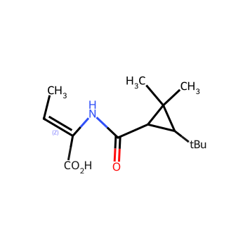 C/C=C(\NC(=O)C1C(C(C)(C)C)C1(C)C)C(=O)O